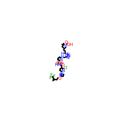 CC1(C)C[C@H](CCCn2nnnc2CNc2cccc(S(=O)(=O)NC(=O)c3ccc(-n4ccc(OCCC5CC5C(F)(F)F)n4)nc3Cl)n2)CN1C(=O)O